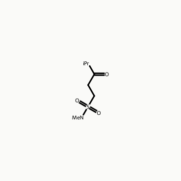 CNS(=O)(=O)CCC(=O)C(C)C